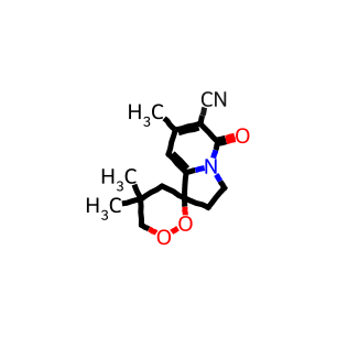 Cc1cc2n(c(=O)c1C#N)CCC21CC(C)(C)COO1